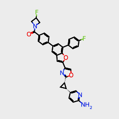 Nc1ccc([C@@H]2C[C@@H]2c2nc(-c3cc4cc(-c5ccc(C(=O)N6CC(F)C6)cc5)cc(-c5ccc(F)cc5)c4o3)co2)cn1